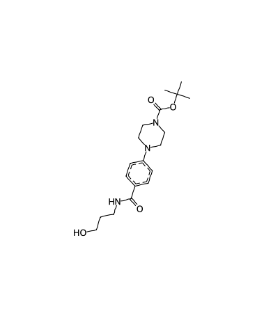 CC(C)(C)OC(=O)N1CCN(c2ccc(C(=O)NCCCO)cc2)CC1